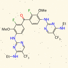 CCNc1nc(Nc2ccc(C(=O)c3ccc(Nc4ncc(C(F)(F)F)c(NCC)n4)c(OC)c3F)c(F)c2OC)ncc1C(F)(F)F